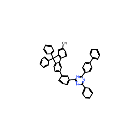 N#Cc1ccc2c(c1)C(c1ccccc1)(c1ccccc1)c1ccc(-c3cccc(-c4nc(-c5ccccc5)nc(-c5ccc(-c6ccccc6)cc5)n4)c3)cc1-2